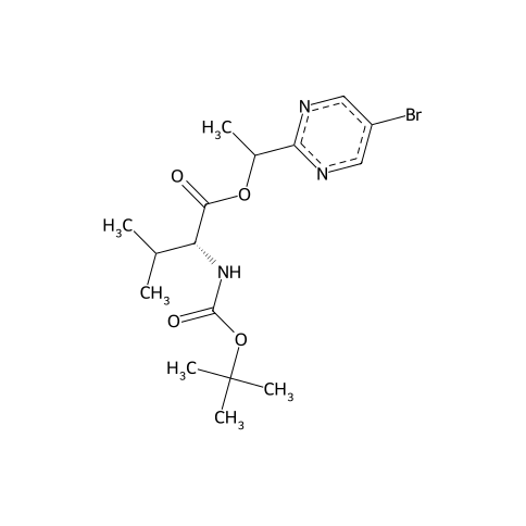 CC(OC(=O)[C@H](NC(=O)OC(C)(C)C)C(C)C)c1ncc(Br)cn1